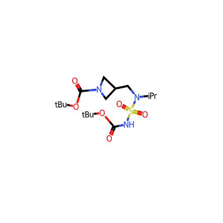 CC(C)N(CC1CN(C(=O)OC(C)(C)C)C1)S(=O)(=O)NC(=O)OC(C)(C)C